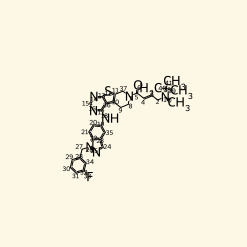 CN(CC=CC(=O)N1CCc2c(sc3ncnc(Nc4ccc5c(cnn5Cc5cccc(F)c5)c4)c23)C1)C(C)(C)C